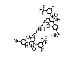 N#Cc1ccc(C2NC(=O)N(c3cc(F)cc(C(F)(F)F)c3)C3=C2C(=O)N(CCCNCCCN2CC4=C(C2=O)C(c2ccc([C@H]5CN5)cc2)NC(=O)N4c2cc(F)cc(C(F)(F)F)c2)C3)cc1